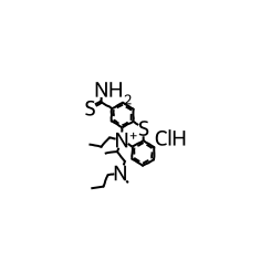 CCCN(C)CC(C)[N+]1(CCC)c2ccccc2Sc2ccc(C(N)=S)cc21.Cl